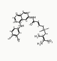 C[N+](C)(C/C=C/C(=O)Nc1cc2c(Nc3ccc(F)c(Br)c3)ncnc2cn1)C/C(N)=C(/N)[N+](=O)[O-]